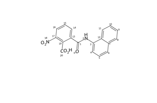 O=C(Nc1cccc2ccccc12)c1cccc([N+](=O)[O-])c1C(=O)O